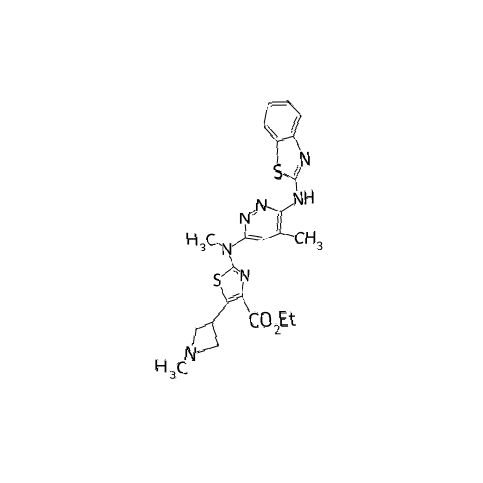 CCOC(=O)c1nc(N(C)c2cc(C)c(Nc3nc4ccccc4s3)nn2)sc1C1CN(C)C1